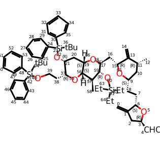 C=C1C[C@H](C=O)O[C@H]1CC[C@H]1C[C@@H](C)C(=C)[C@@H](C[C@@H]2O[C@H]3C[C@@H](O[Si](c4ccccc4)(c4ccccc4)C(C)(C)C)[C@@H](CCO[Si](c4ccccc4)(c4ccccc4)C(C)(C)C)O[C@H]3[C@H](C)[C@H]2O[Si](CC)(CC)CC)O1